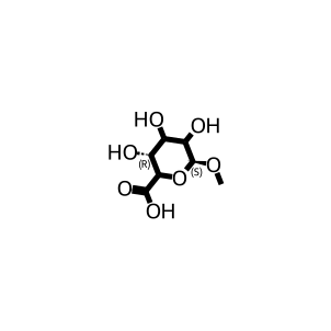 CO[C@H]1OC(C(=O)O)[C@H](O)C(O)C1O